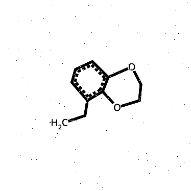 [CH2]Cc1cccc2c1OCCO2